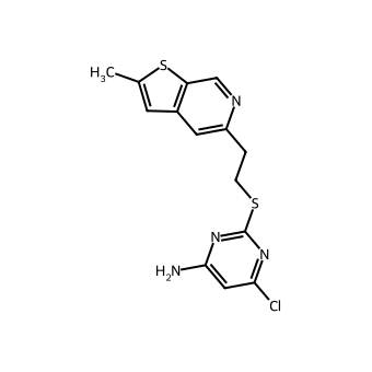 Cc1cc2cc(CCSc3nc(N)cc(Cl)n3)ncc2s1